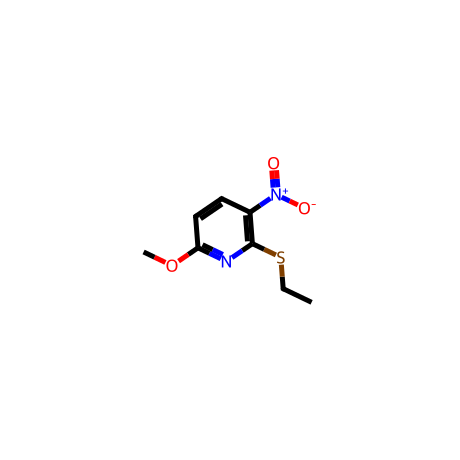 CCSc1nc(OC)ccc1[N+](=O)[O-]